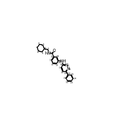 O=C(NCC1CCCCC1)c1cccc(Nc2ccc(-c3ccccc3)nn2)c1